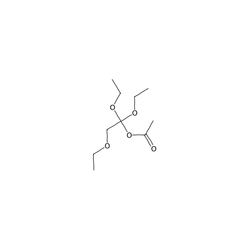 CCOCC(OCC)(OCC)OC(C)=O